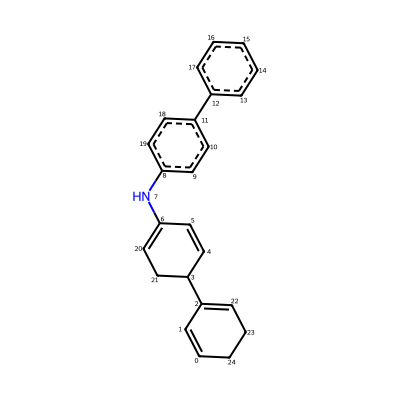 C1=CC(C2C=CC(Nc3ccc(-c4ccccc4)cc3)=CC2)=CCC1